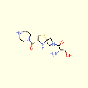 N[C@@H](CO)C(=O)N1CC2(C1)N[C@H](C(=O)N1CCNCC1)CS2